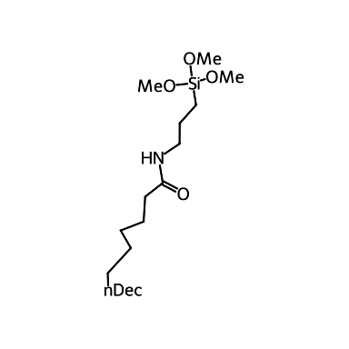 CCCCCCCCCCCCCCCC(=O)NCCC[Si](OC)(OC)OC